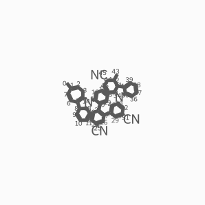 CC1=CCC2=C(C=C1)C1C=CC=CC1N2c1ccccc1-c1ccc(C#N)cc1-c1cc(C#N)cc(N2c3ccccc3C3C(C)C(C#N)C=CC32)c1